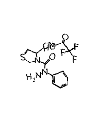 N#CC1CSCN1C(=O)N(N)c1ccccc1.O=C(O)C(F)(F)F